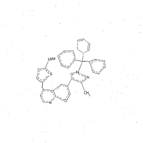 CSc1ccc(-c2ccnc3ccc(-c4cn(C(c5ccccc5)(c5ccccc5)C5C=CC=CC5)nc4C)cc23)s1